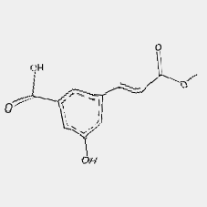 COC(=O)/C=C/c1cc(O)cc(C(=O)O)c1